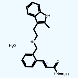 Cc1[nH]c2ccccc2c1CCNCc1ccccc1/C=C/C(=O)NO.O